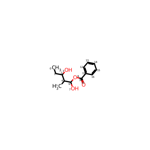 CCC(O)C(C)C(O)OC(=O)c1ccccc1